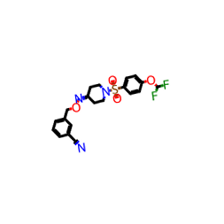 N#Cc1cccc(CON=C2CCN(S(=O)(=O)c3ccc(OC(F)F)cc3)CC2)c1